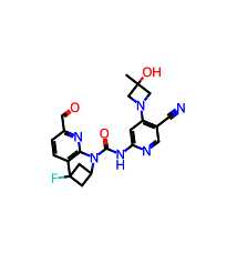 CC1(O)CN(c2cc(NC(=O)N3c4nc(C=O)ccc4C4(F)CC3C4)ncc2C#N)C1